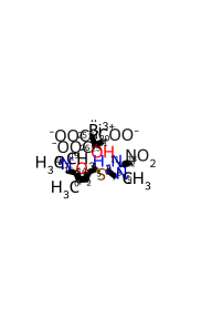 Cc1cc(CSCCN(C)C(N)=C[N+](=O)[O-])oc1CN(C)C.O=C([O-])CC(O)(CC(=O)[O-])C(=O)[O-].[Bi+3]